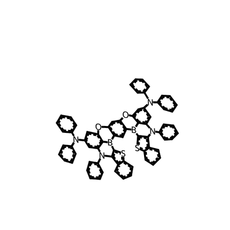 c1ccc(N(c2ccccc2)c2cc3c4c(c2)N(c2ccccc2)c2c(sc5ccccc25)B4c2cc4c(cc2O3)Oc2cc(N(c3ccccc3)c3ccccc3)cc3c2B4c2sc4ccccc4c2N3c2ccccc2)cc1